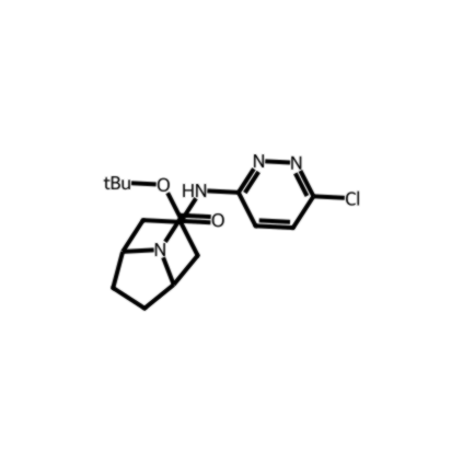 CC(C)(C)OC(=O)N1C2CCC1CC(Nc1ccc(Cl)nn1)C2